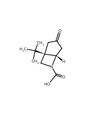 CC(C)(C)[C@@]12CC(=O)C[C@@H]1N(C(=O)O)C2